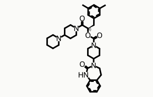 Cc1cc(C)cc(C[C@@H](OC(=O)N2CCC(N3CCc4ccccc4NC3=O)CC2)C(=O)N2CCC(N3CCCCC3)CC2)c1